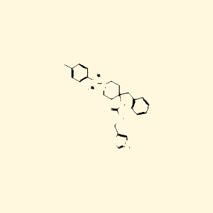 Cc1ccc(S(=O)(=O)N2CCC(Cc3ccccc3)(NC(=O)OCc3cncs3)CC2)cc1